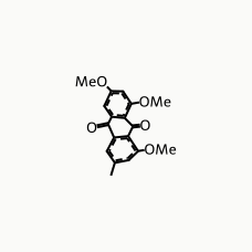 COc1cc(OC)c2c(c1)C(=O)c1cc(C)cc(OC)c1C2=O